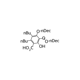 CCCCCCCCCCOOc1c(O)c(C(=O)O)c(CCCC)c(CCCC)c1OCCCCCCCCCC